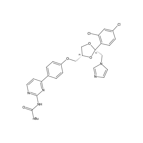 CCCCC(=O)Nc1nccc(-c2ccc(OC[C@@H]3CO[C@@](Cn4ccnc4)(c4ccc(Cl)cc4Cl)O3)cc2)n1